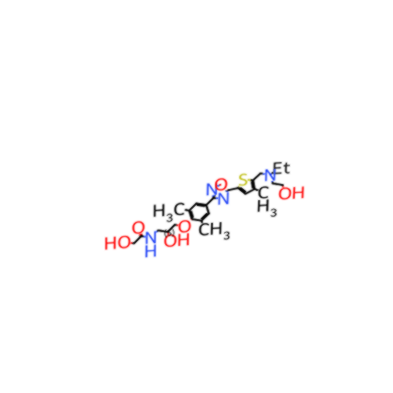 CCN(CCO)Cc1sc(-c2nc(-c3cc(C)c(OC[C@@H](O)CNC(=O)CO)c(C)c3)no2)cc1C